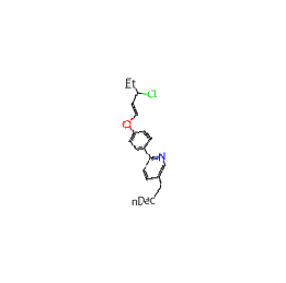 CCCCCCCCCCCc1ccc(-c2ccc(OCCC(Cl)CC)cc2)nc1